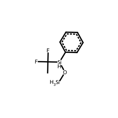 CC(F)(F)[SiH](O[SiH3])c1ccccc1